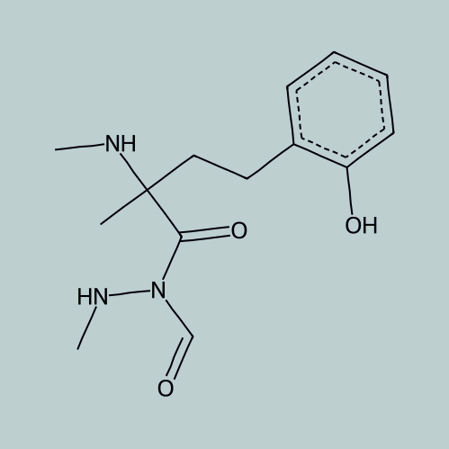 CNN(C=O)C(=O)C(C)(CCc1ccccc1O)NC